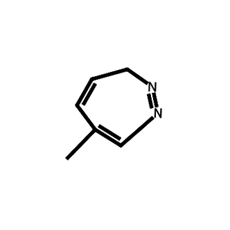 CC1=CN=NCC=C1